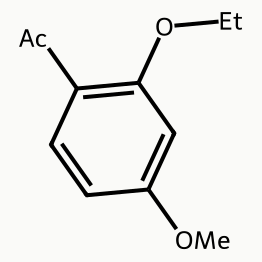 CCOc1cc(OC)ccc1C(C)=O